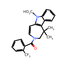 CC1(C)CN(C(=O)c2ccccc2C(F)(F)F)C=Cc2c1c1ccccc1n2C(=O)O